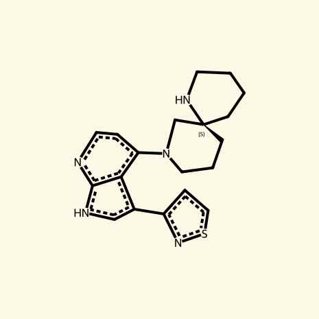 c1cc(N2CCC[C@@]3(CCCCN3)C2)c2c(-c3ccsn3)c[nH]c2n1